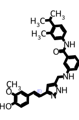 COc1cc(/C=C/c2cc(CNc3cccc(C(=O)Nc4ccc(C(C)C)c(C)c4)c3)[nH]n2)ccc1O